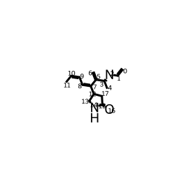 C=C/N=C(\C)C(=C)/C(=C\C=C/C)C1CNC(=O)C1